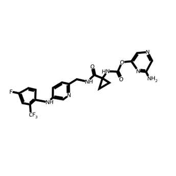 Nc1cncc(OC(=O)NC2(C(=O)NCc3ccc(Nc4ccc(F)cc4C(F)(F)F)cn3)CC2)n1